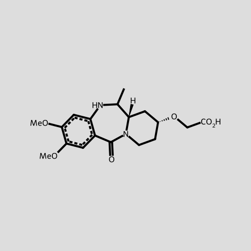 COc1cc2c(cc1OC)C(=O)N1CC[C@@H](OCC(=O)O)C[C@H]1C(C)N2